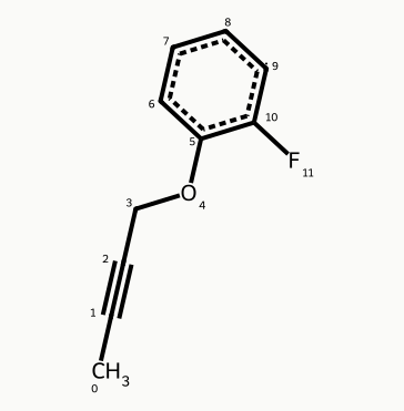 CC#CCOc1ccc[c]c1F